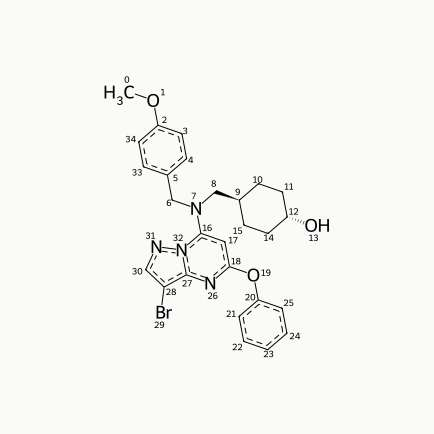 COc1ccc(CN(C[C@H]2CC[C@H](O)CC2)c2cc(Oc3ccccc3)nc3c(Br)cnn23)cc1